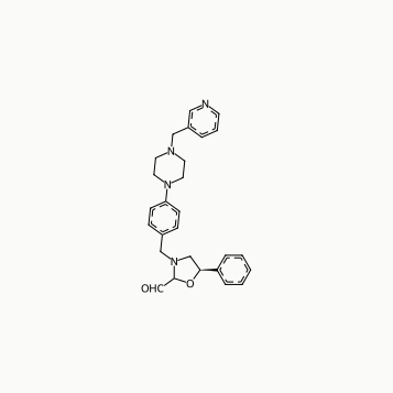 O=CC1O[C@H](c2ccccc2)CN1Cc1ccc(N2CCN(Cc3cccnc3)CC2)cc1